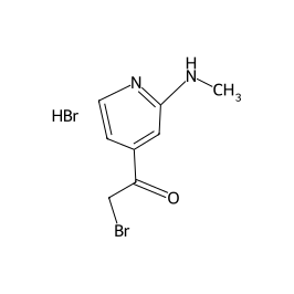 Br.CNc1cc(C(=O)CBr)ccn1